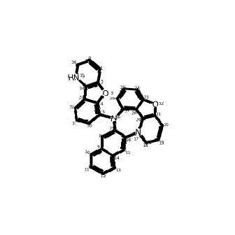 C1=Cc2oc3c(N4c5cc6ccccc6cc5N5CC=Cc6oc7cccc4c7c65)cccc3c2NC1